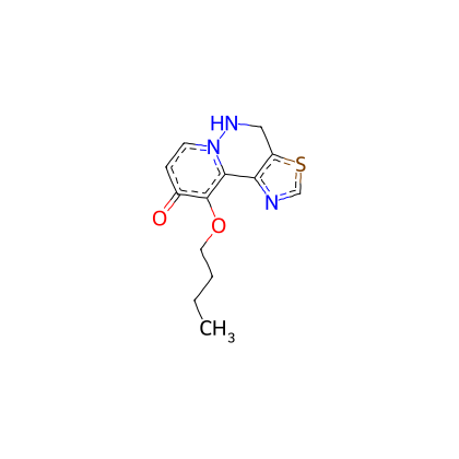 CCCCOc1c2n(ccc1=O)NCc1scnc1-2